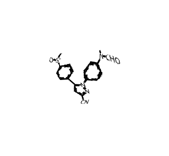 CN(C=O)c1ccc(-n2nc(C#N)cc2-c2ccc([S+](C)[O-])cc2)cc1